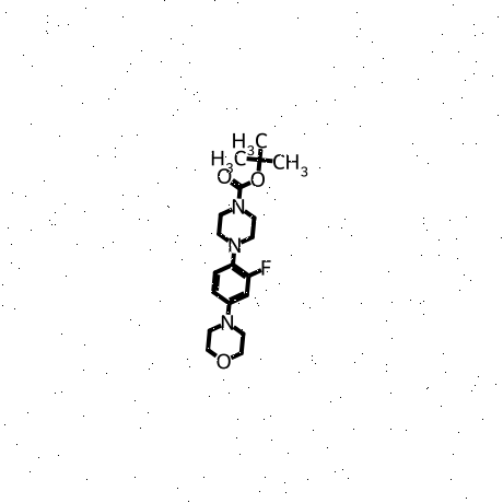 CC(C)(C)OC(=O)N1CCN(c2ccc(N3CCOCC3)cc2F)CC1